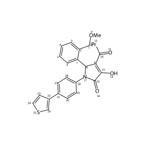 COCc1ccccc1C1C(C(=O)C(C)C)=C(O)C(=O)N1c1ccc(-c2ccsc2)cc1